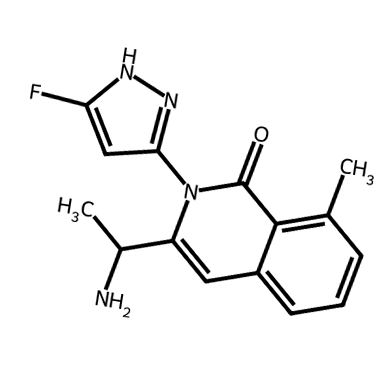 Cc1cccc2cc(C(C)N)n(-c3cc(F)[nH]n3)c(=O)c12